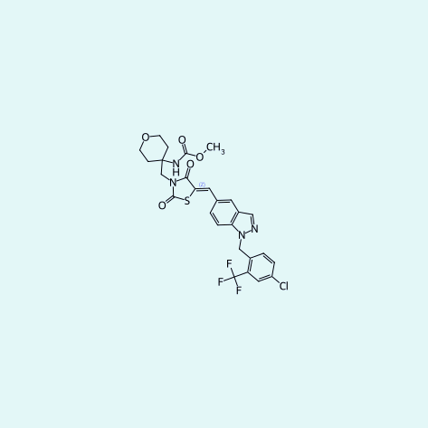 COC(=O)NC1(CN2C(=O)S/C(=C\c3ccc4c(cnn4Cc4ccc(Cl)cc4C(F)(F)F)c3)C2=O)CCOCC1